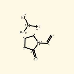 C=CN1CCCC1=O.CCN(CC)CC